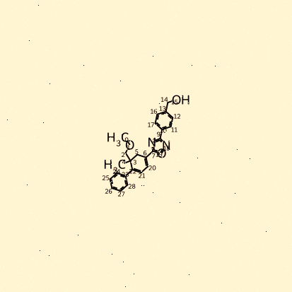 COCC1(C)CC(c2nc(-c3ccc(CO)cc3)no2)=CC=C1c1ccccc1